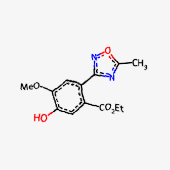 CCOC(=O)c1cc(O)c(OC)cc1-c1noc(C)n1